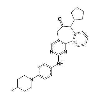 CC1CCN(c2ccc(Nc3ncc4c(n3)-c3ccccc3C(C3CCCC3)C(=O)C4)cc2)CC1